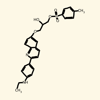 CCNc1ccc(-c2ccc3cc(OCC(O)COS(=O)(=O)c4ccc(C)cc4)ccc3n2)cc1